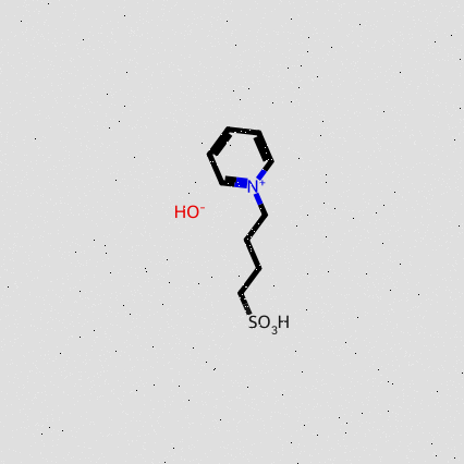 O=S(=O)(O)CCCC[n+]1ccccc1.[OH-]